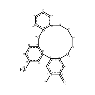 Cn1cc2c(cc1=O)OCCCCc1cccnc1Oc1ccc(N)cc1-2